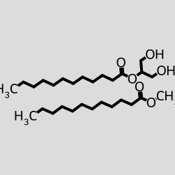 CCCCCCCCCCCC(=O)OC.CCCCCCCCCCCC(=O)OC(CO)CO